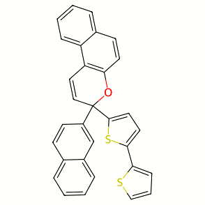 C1=CC(c2ccc3ccccc3c2)(c2ccc(-c3cccs3)s2)Oc2ccc3ccccc3c21